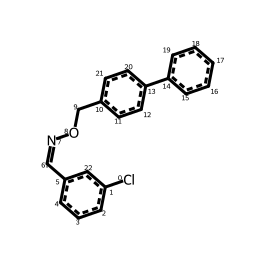 Clc1cccc(/[C]=N\OCc2ccc(-c3ccccc3)cc2)c1